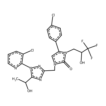 CC(O)c1nc(Cn2cc(-c3ccc(Cl)cc3)n(CC(O)C(F)(F)F)c2=O)nn1-c1ncccc1Cl